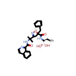 CC(C)C[C@H](NC(=O)C1(Cc2ccccc2)CC(C(C)(C)NC(=O)c2nccc3ccccc23)=NO1)B(O)O